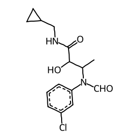 CC(C(O)C(=O)NCC1CC1)N(C=O)c1cccc(Cl)c1